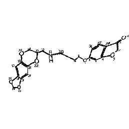 O=C1COc2cc(OCCCNCC3COc4cc5c(cc4O3)OCO5)ccc21